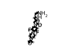 N/C=C\NCC1CN(c2cc(F)c(N3CCN(C4COC4)CC3)c(F)c2)C(=O)O1